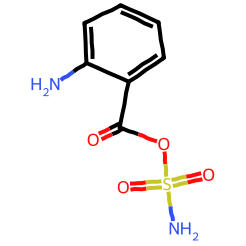 Nc1ccccc1C(=O)OS(N)(=O)=O